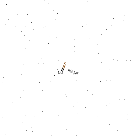 [Ag].[Au].[S]=[Cu]